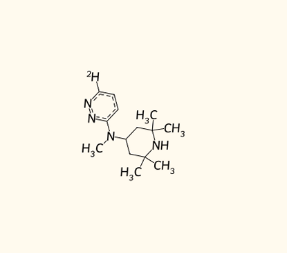 [2H]c1ccc(N(C)C2CC(C)(C)NC(C)(C)C2)nn1